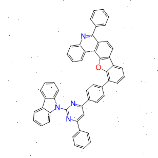 c1ccc(-c2cc(-c3ccc(-c4cccc5c4oc4c5ccc5c(-c6ccccc6)nc6ccccc6c54)cc3)nc(-n3c4ccccc4c4ccccc43)n2)cc1